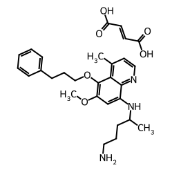 COc1cc(NC(C)CCCN)c2nccc(C)c2c1OCCCc1ccccc1.O=C(O)/C=C/C(=O)O